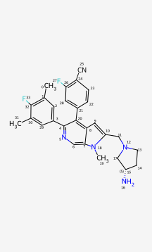 Cc1cc(-c2ncc3c(cc(CN4CC[C@H](N)C4)n3C)c2-c2ccc(C#N)c(F)c2)cc(C)c1F